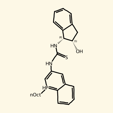 CCCCCCCC[PH]1=c2ccccc2=CC(NC(=S)N[C@@H]2c3ccccc3C[C@@H]2O)=C1